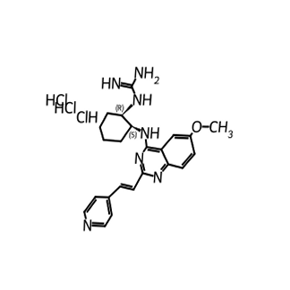 COc1ccc2nc(C=Cc3ccncc3)nc(N[C@H]3CCCC[C@H]3NC(=N)N)c2c1.Cl.Cl.Cl